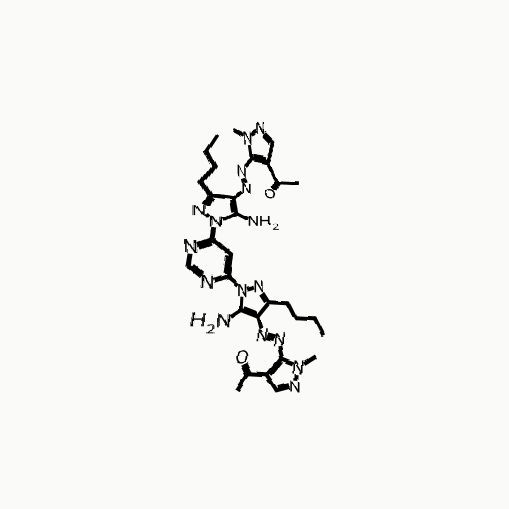 CCCCc1nn(-c2cc(-n3nc(CCCC)c(/N=N/c4c(C(C)=O)cnn4C)c3N)ncn2)c(N)c1/N=N/c1c(C(C)=O)cnn1C